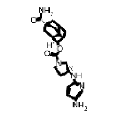 Nc1ccc(N[C@H]2CCN(C(=O)O[C@H]3C4CC5CC3C[C@](C(N)=O)(C5)C4)C2)nc1